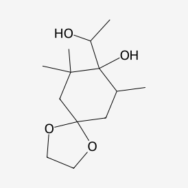 CC(O)C1(O)C(C)CC2(CC1(C)C)OCCO2